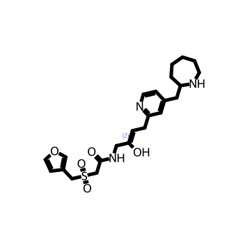 O=C(CS(=O)(=O)Cc1ccoc1)NC/C(O)=C/Cc1cc(CC2CCCCCN2)ccn1